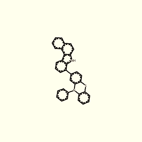 c1ccc(N2c3ccccc3Sc3ccc(-c4cccc5c4[nH]c4ccc6ccccc6c45)cc32)cc1